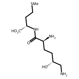 CSCC[C@H](NC(=O)[C@@H](N)CC[C@@H](O)CN)C(=O)O